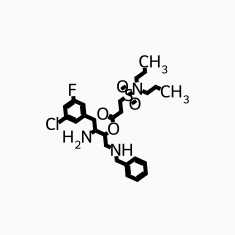 CCCN(CCC)S(=O)(=O)CCC(=O)OC(CNCc1ccccc1)C(N)Cc1cc(F)cc(Cl)c1